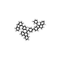 c1ccc(-n2c3cc(-c4ccc(N(c5ccc(-c6cccc7sc8ccccc8c67)cc5)c5cc6ccccc6c6ccccc56)cc4)ccc3c3ccc4ccccc4c32)cc1